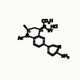 CC(=O)N1c2ccc(-c3ccc(N)nc3)cc2[C@H](N(C(=O)O)C(C)C)C[C@@H]1C.Cl